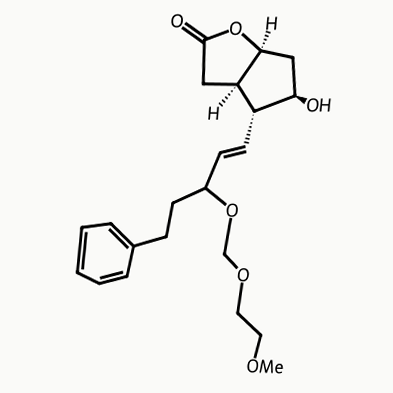 COCCOCOC(C=C[C@@H]1[C@H]2CC(=O)O[C@H]2C[C@H]1O)CCc1ccccc1